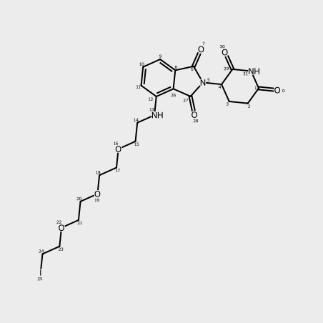 O=C1CCC(N2C(=O)c3cccc(NCCOCCOCCOCCI)c3C2=O)C(=O)N1